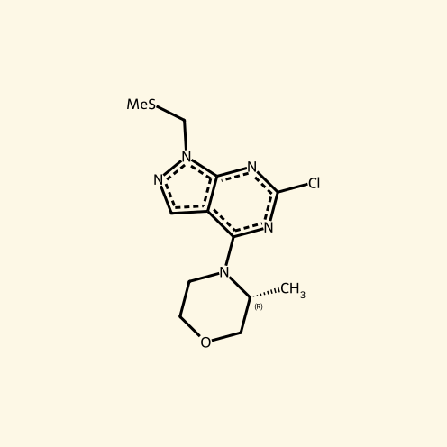 CSCn1ncc2c(N3CCOC[C@H]3C)nc(Cl)nc21